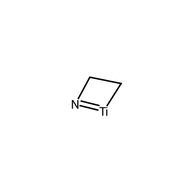 C1[CH2][Ti]=[N]1